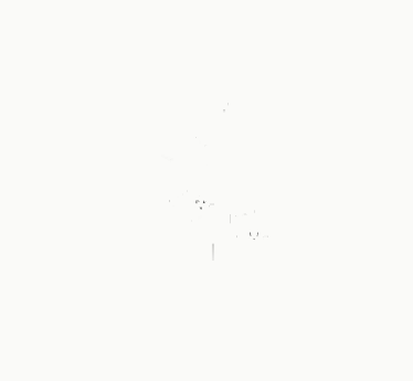 CC#CC(OC(=O)CP(C)(C)=O)C(=O)OC(=O)C(C#CC)P(=O)(OC)OC